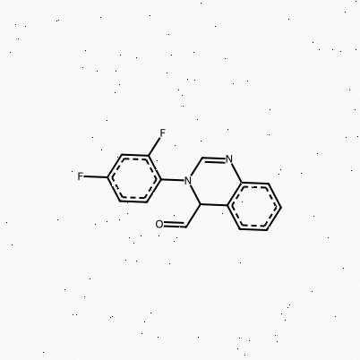 O=CC1c2ccccc2N=CN1c1ccc(F)cc1F